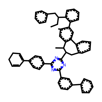 CCC(Cc1ccccc1)c1ccccc1-c1cc2c(cc1C)C(C)C(c1nc(-c3ccc(C4=CCCC=C4)cc3)nc(-c3cccc(-c4ccccc4)c3)n1)Cc1ccccc1-2